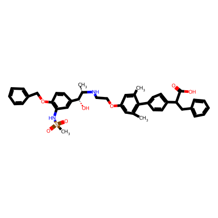 Cc1cc(OCCN[C@@H](C)[C@H](O)c2ccc(OCc3ccccc3)c(NS(C)(=O)=O)c2)cc(C)c1-c1ccc(C(Cc2ccccc2)C(=O)O)cc1